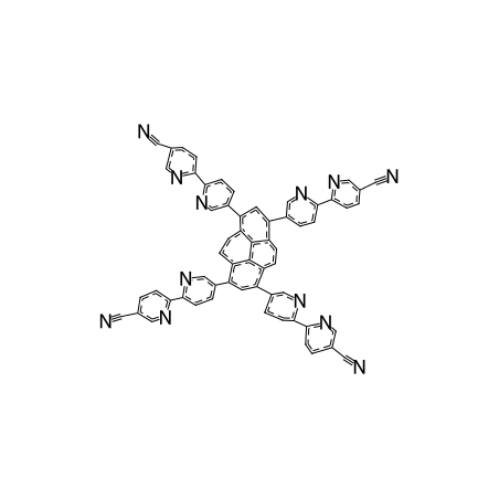 N#Cc1ccc(-c2ccc(-c3cc(-c4ccc(-c5ccc(C#N)cn5)nc4)c4ccc5c(-c6ccc(-c7ccc(C#N)cn7)nc6)cc(-c6ccc(-c7ccc(C#N)cn7)nc6)c6ccc3c4c65)cn2)nc1